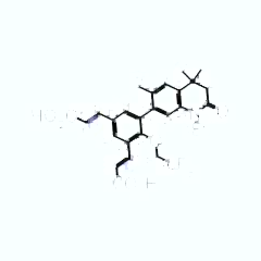 CCN1C(=O)CC(C)(C)c2cc(C)c(-c3cc(/C=C/C(=O)O)cc(/C=C/C(=O)O)c3OCC(F)(F)F)cc21